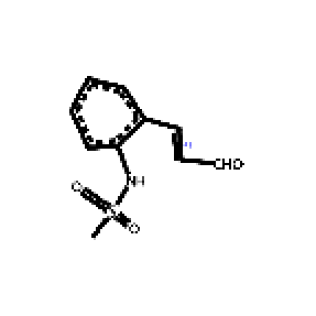 CS(=O)(=O)Nc1ccccc1/C=C/[C]=O